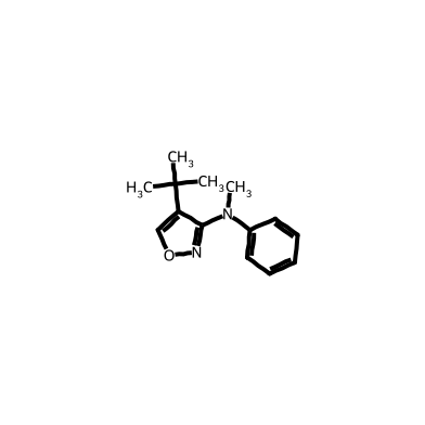 CN(c1ccccc1)c1nocc1C(C)(C)C